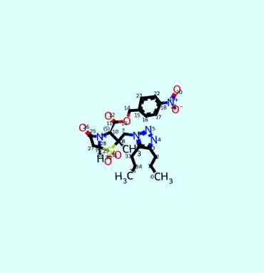 CCCc1nnn(C[C@@]2(C)[C@H](C(=O)OCc3ccc([N+](=O)[O-])cc3)N3C(=O)C[C@H]3S2(=O)=O)c1CCC